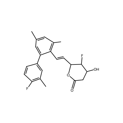 Cc1cc(C)c(/C=C/C2OC(=O)CC(O)C2F)c(-c2ccc(F)c(C)c2)c1